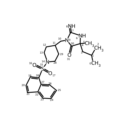 CC(C)CC1(C)NC(=N)N(CC2CCN(S(=O)(=O)c3cccc4ccccc34)CC2)C1=O